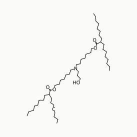 CCCCCCCCC(CCCCCCCC)C(=O)OCCCCCCCN(CCCO)CCCCCCCOC(=O)C(CCCCCCCC)CCCCCCCC